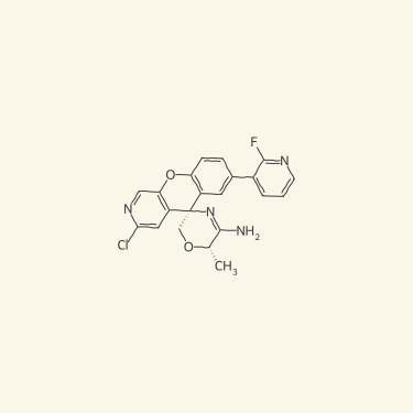 C[C@@H]1OC[C@@]2(N=C1N)c1cc(-c3cccnc3F)ccc1Oc1cnc(Cl)cc12